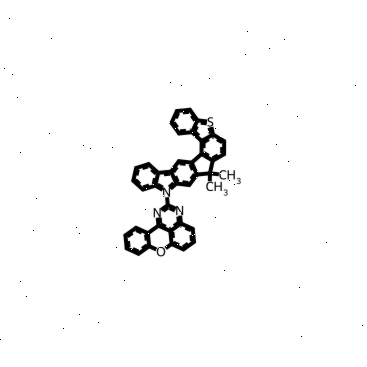 CC1(C)c2cc3c(cc2-c2c1ccc1sc4ccccc4c21)c1ccccc1n3-c1nc2c3c(cccc3n1)Oc1ccccc1-2